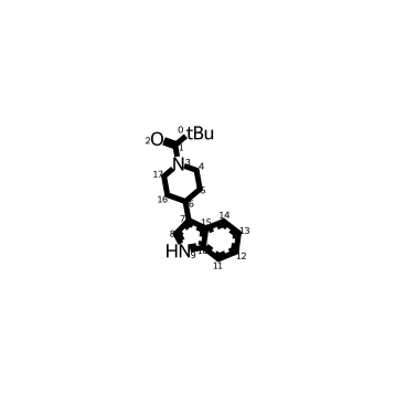 CC(C)(C)C(=O)N1CCC(c2c[nH]c3ccccc23)CC1